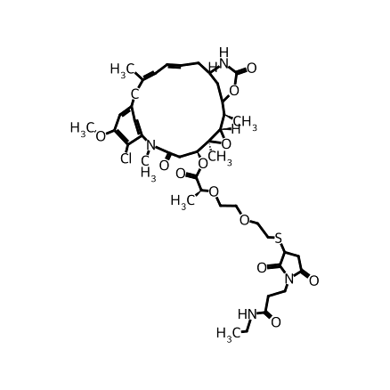 CCNC(=O)CCN1C(=O)CC(SCCOCCO[C@@H](C)C(=O)O[C@H]2CC(=O)N(C)c3cc(cc(OC)c3Cl)C/C(C)=C/C=C/C[C@H]3CC(OC(=O)N3)[C@@H](C)[C@@H]3O[C@@]23C)C1=O